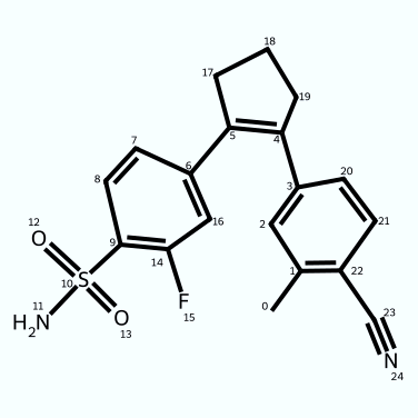 Cc1cc(C2=C(c3ccc(S(N)(=O)=O)c(F)c3)CCC2)ccc1C#N